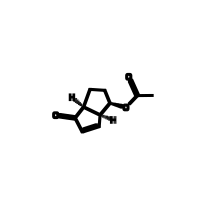 CC(=O)O[C@@H]1CC[C@@H]2C(=O)C=C[C@@H]21